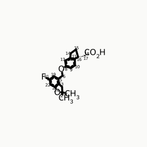 CC1(C)Cc2c(COc3ccc4c(c3)CC[C@@H]4CC(=O)O)cc(F)cc2O1